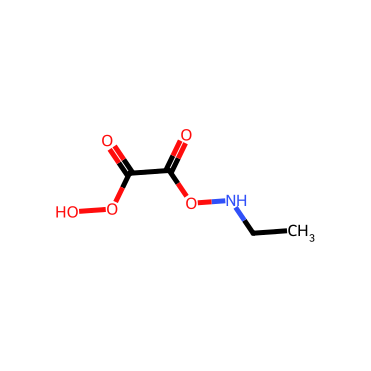 CCNOC(=O)C(=O)OO